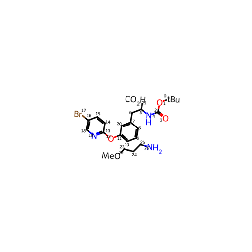 CC(C)(C)OC(=O)NC(Cc1cccc(Oc2ccc(Br)cn2)c1)C(=O)O.COCCCN